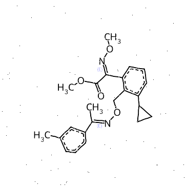 CO/N=C(/C(=O)OC)c1cccc(C2CC2)c1CO/N=C(\C)c1cccc(C)c1